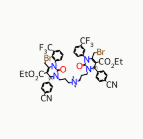 CCOC(=O)C1=C(CBr)N(c2cccc(C(F)(F)F)c2)C(=O)N(CCC[N+](C)(C)CCCN2C(=O)N(c3cccc(C(F)(F)F)c3)C(CBr)=C(C(=O)OCC)[C@H]2c2ccc(C#N)cc2)[C@@H]1c1ccc(C#N)cc1